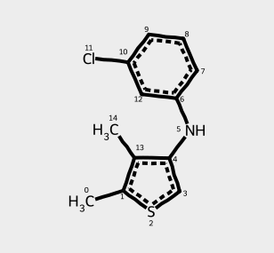 Cc1scc(Nc2cccc(Cl)c2)c1C